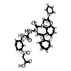 O=C(O)C[S@@+]([O-])c1cccc(NC(=O)NN2C=C(c3ccccc3)c3ccccc3N(CC(=O)N3CCCC3)C2=O)c1